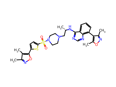 Cc1noc(-c2ccc(S(=O)(=O)N3CCN(C[C@H](C)Nc4ncnc5c(-c6c(C)noc6C)cccc45)CC3)s2)c1C